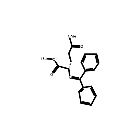 COC(=O)CC[C@H](N=C(c1ccccc1)c1ccccc1)C(=O)OC(C)(C)C